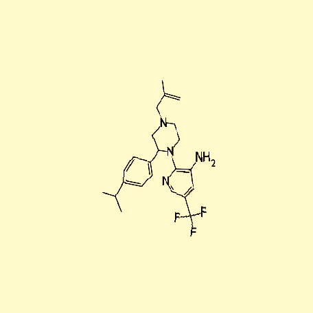 C=C(C)CN1CCN(c2ncc(C(F)(F)F)cc2N)C(c2ccc(C(C)C)cc2)C1